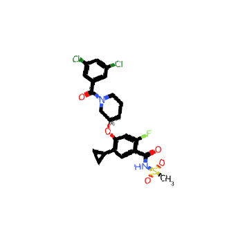 CS(=O)(=O)NC(=O)c1cc(C2CC2)c(O[C@@H]2CCCN(C(=O)c3cc(Cl)cc(Cl)c3)C2)cc1F